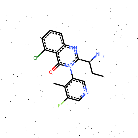 CC[C@H](N)c1nc2cccc(Cl)c2c(=O)n1-c1cncc(F)c1C